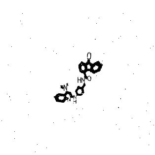 CN(C)c1cc(NC2CCC(CNC(=O)c3cccc4c3-c3ccccc3C4=O)CC2)nc2ccccc12